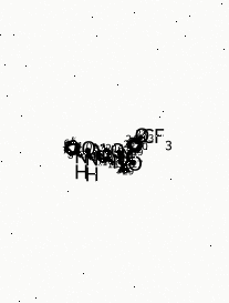 O=C(Nc1ccccc1)Nc1cc(CN2C(=O)N(c3ccc(OC(F)(F)F)cc3)C(=O)C23CC3)ccn1